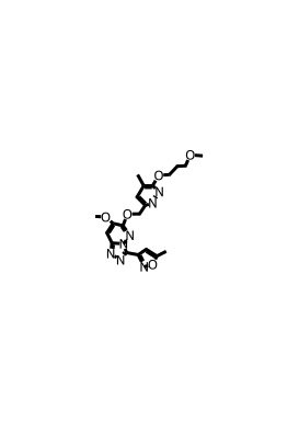 COCCCOc1nnc(COc2nn3c(-c4cc(C)on4)nnc3cc2OC)cc1C